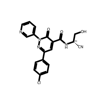 N#C[C@@H](CO)NC(=O)c1cc(-c2ccc(Cl)cc2)nn(-c2cccnc2)c1=O